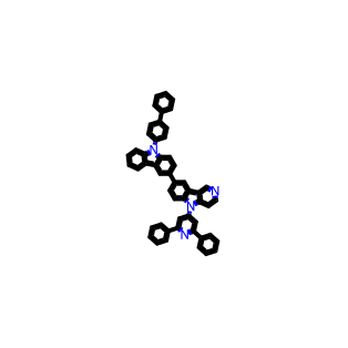 c1ccc(-c2ccc(-n3c4ccccc4c4cc(-c5ccc6c(c5)c5cnccc5n6-c5cc(-c6ccccc6)nc(-c6ccccc6)c5)ccc43)cc2)cc1